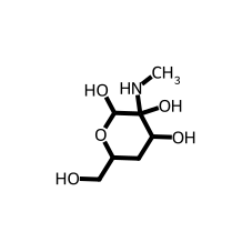 CNC1(O)C(O)CC(CO)OC1O